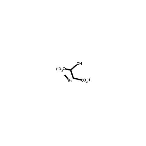 CCC.O=C(O)CC(O)C(=O)O